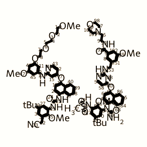 COCCOCCOCCOc1cc(Nc2cc(Oc3ccc(NC(=O)Nc4cc(C(C)(C)C)cc(CC#N)c4OC)c4ccccc34)ccn2)cc(OC)c1.COc1cc(CNc2nccc(Oc3ccc(N(C(N)=O)c4cc(C(C)(C)C)cc(NS(C)(=O)=O)c4OC)c4ccccc34)n2)cc(C(=O)NCCN2CCOCC2)c1